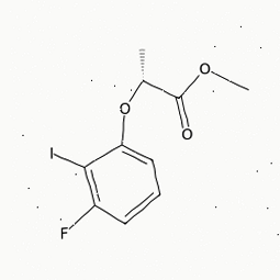 COC(=O)[C@@H](C)Oc1cccc(F)c1I